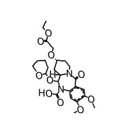 CCOC(=O)CO[C@@H]1CCN2C(=O)c3cc(OC)c(OC)cc3N(C(=O)O)C(OC3CCCCO3)[C@@H]2C1